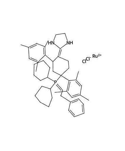 Cc1cc(C)c(C2CC(c3c(C)cc(C)cc3C)(P(=CCc3ccccc3)(C3CCCCC3)C3CCCCC3)CCC2=C2NCCN2)c(C)c1.[Cl-].[Cl-].[Ru+2]